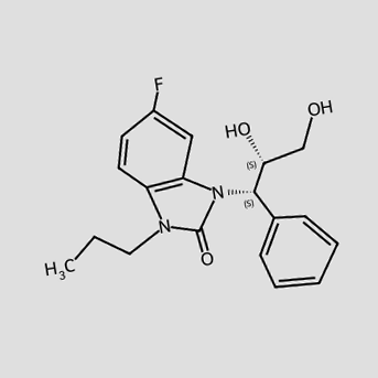 CCCn1c(=O)n([C@@H](c2ccccc2)[C@H](O)CO)c2cc(F)ccc21